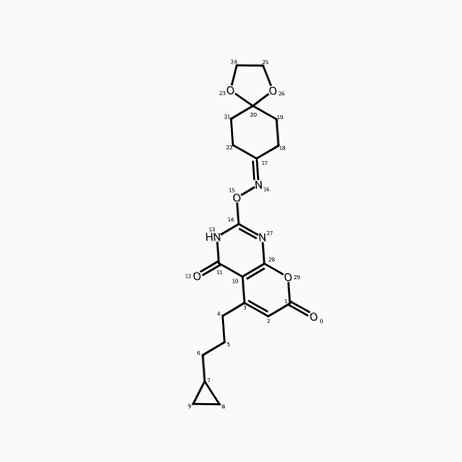 O=c1cc(CCCC2CC2)c2c(=O)[nH]c(ON=C3CCC4(CC3)OCCO4)nc2o1